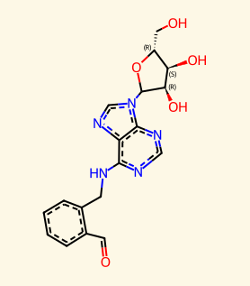 O=Cc1ccccc1CNc1ncnc2c1ncn2C1O[C@H](CO)[C@@H](O)[C@H]1O